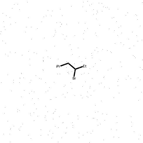 [CH2]C(C)CC(Br)CC